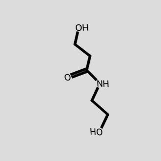 O=C(CCO)NCCO